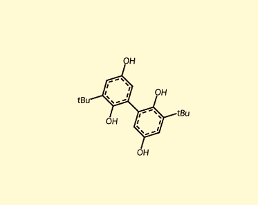 CC(C)(C)c1cc(O)cc(-c2cc(O)cc(C(C)(C)C)c2O)c1O